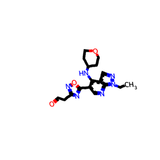 CCn1ncc2c(NC3CCOCC3)c(-c3nc(CC=O)no3)cnc21